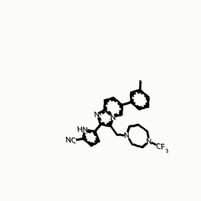 Cc1cccc(-c2ccc3nc(-c4ccc(C#N)[nH]4)c(CN4CCCN(C(F)(F)F)CC4)n3c2)c1